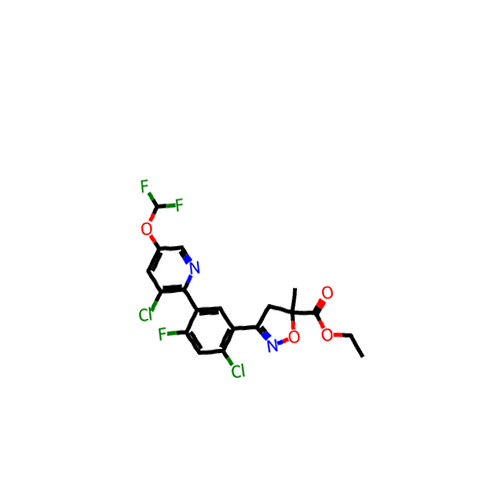 CCOC(=O)C1(C)CC(c2cc(-c3ncc(OC(F)F)cc3Cl)c(F)cc2Cl)=NO1